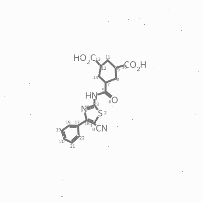 N#Cc1sc(NC(=O)C2CC(C(=O)O)CC(C(=O)O)C2)nc1-c1ccccc1